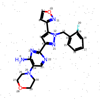 Nc1nc(-c2cc(-c3ccon3)n(Cc3ccccc3F)n2)ncc1N1CCOCC1